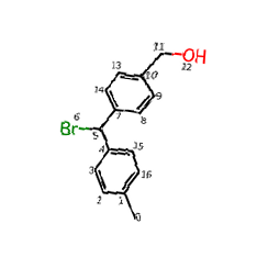 Cc1ccc(C(Br)c2ccc(CO)cc2)cc1